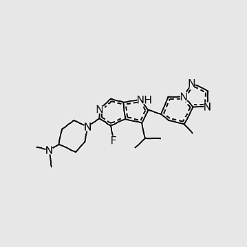 Cc1cc(-c2[nH]c3cnc(N4CCC(N(C)C)CC4)c(F)c3c2C(C)C)cn2ncnc12